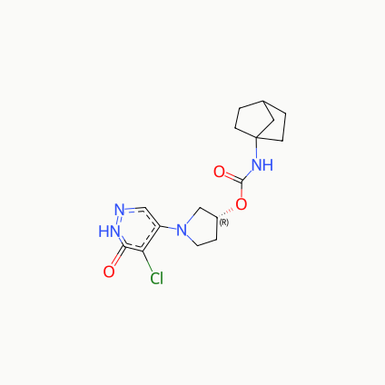 O=C(NC12CCC(CC1)C2)O[C@@H]1CCN(c2cn[nH]c(=O)c2Cl)C1